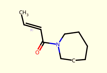 C/C=C/C(=O)N1CCCCCC1